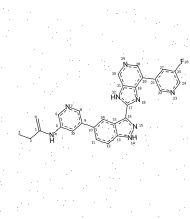 C=C(CC)Nc1cncc(-c2ccc3[nH]nc(-c4nc5c(-c6cncc(F)c6)cncc5[nH]4)c3c2)c1